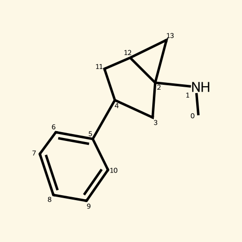 CNC12CC(c3ccccc3)CC1C2